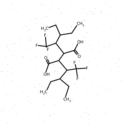 CCC(CC)C(C(C(=O)O)C(C(=O)O)C(C(CC)CC)C(F)(F)F)C(F)(F)F